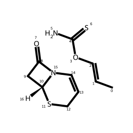 CC=COC(N)=S.O=C1C[C@H]2SCC=CN12